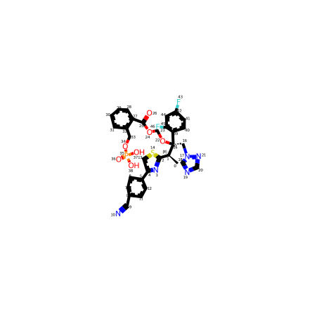 C[C@@H](c1nc(-c2ccc(C#N)cc2)cs1)[C@@](Cn1cncn1)(OCOC(=O)c1ccccc1COP(=O)(O)O)c1ccc(F)cc1F